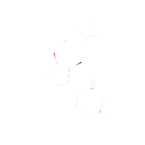 CO[Si](C)(C)O[Si](C)(C)O[C@@H]1[C@@H](C)OC(n2ccc(=O)[nH]c2=O)[C@@H]1C